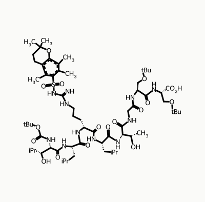 Cc1c(C)c(S(=O)(=O)NC(=N)NCCC[C@@H](NC(=O)[C@H](CC(C)C)NC(=O)[C@@H](NC(=O)OC(C)(C)C)[C@H](O)C(C)C)C(=O)N[C@@H](CC(C)C)C(=O)N[C@H](C(=O)NCC(=O)N[C@@H](COC(C)(C)C)C(=O)N[C@@H](COC(C)(C)C)C(=O)O)[C@H](C)O)c(C)c2c1OC(C)(C)CC2